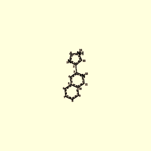 [c]1nc(-c2cc3ccccc3cn2)c[nH]1